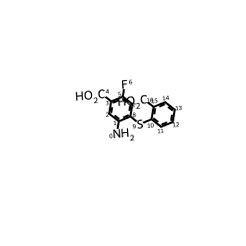 Nc1cc(C(=O)O)c(F)cc1Sc1ccccc1C(=O)O